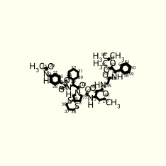 CCCC(NC(=O)[C@@H]1CC2(CN1C(=O)[C@@H](NS(=O)(=O)c1ccc(NC(C)=O)cc1)C1CCCCC1)SCCCS2)C(=O)C(=O)NCC(=O)NC(C(=O)OC(C)(C)C)c1ccccc1